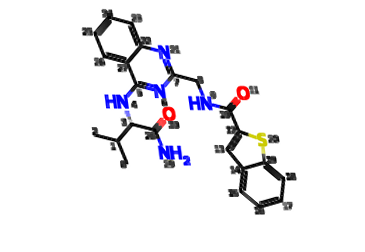 CC(C)[C@H](Nc1nc(CNC(=O)c2cc3ccccc3s2)nc2ccccc12)C(N)=O